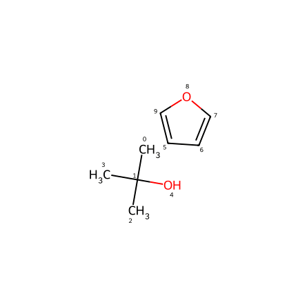 CC(C)(C)O.c1ccoc1